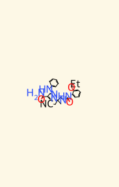 CCOc1ccccc1NC(=O)N1CC(CC#N)(n2cc(C(N)=O)c(Nc3ccccc3)n2)C1